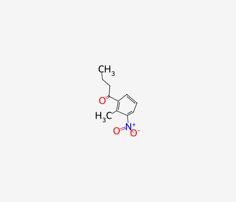 CCCC(=O)c1cccc([N+](=O)[O-])c1C